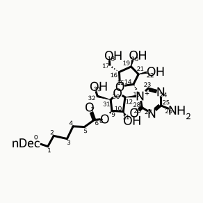 CCCCCCCCCCCCCCCC(=O)O[C@H]1[C@H](O)[C@H]([N+]2([C@@H]3O[C@H](CO)[C@@H](O)[C@H]3O)C=NC(N)=NC2=O)O[C@@H]1CO